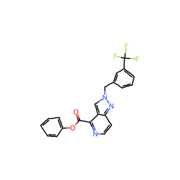 O=C(Oc1ccccc1)c1nccc2nn(Cc3cccc(C(F)(F)F)c3)cc12